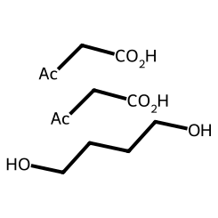 CC(=O)CC(=O)O.CC(=O)CC(=O)O.OCCCCO